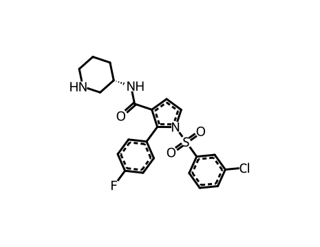 O=C(N[C@H]1CCCNC1)c1ccn(S(=O)(=O)c2cccc(Cl)c2)c1-c1ccc(F)cc1